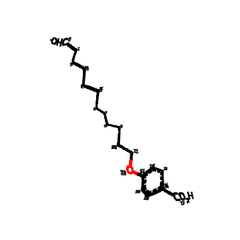 O=[C]CCCCCCCCCCCOc1ccc(C(=O)O)cc1